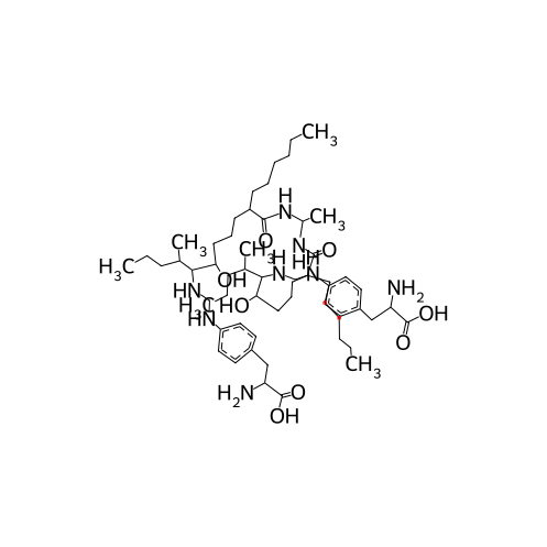 CCCCCCC(CCCC(O)C(NCNc1ccc(CC(N)C(=O)O)cc1)C(C)CCC)C(=O)NC(C)NC(=O)C(CCCCCC)CCCC(O)C(NCNc1ccc(CC(N)C(=O)O)cc1)C(C)CCC